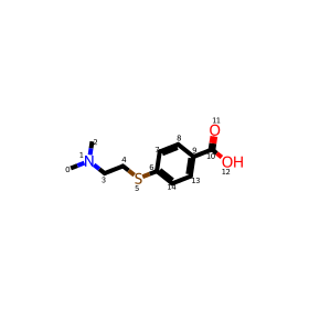 CN(C)CCSc1ccc(C(=O)O)cc1